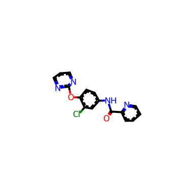 O=C(Nc1ccc(Oc2ncccn2)c(Cl)c1)c1ccccn1